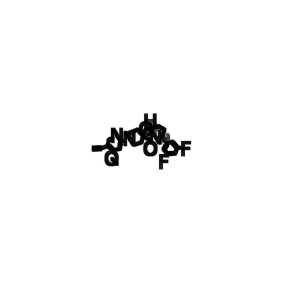 C#Cc1cnc(N2CCC3(CC2)O[C@@H]2CC[C@@H](c4cc(F)cc(F)c4)N2C3=O)cc1OC